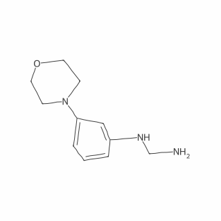 NCNc1cccc(N2CCOCC2)c1